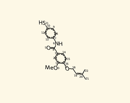 COc1cc(C(=O)Nc2ccc(S)cc2)ccc1OCC=C(C)C